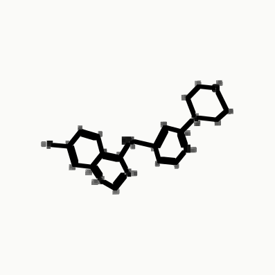 Fc1ccc2c(Nc3ccnc(N4CCOCC4)c3)ncnc2c1